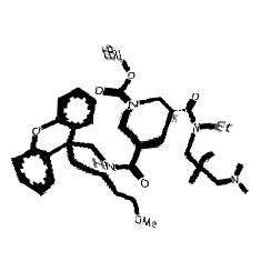 CCN(CC(C)(C)CN(C)C)C(=O)[C@@H]1CC(C(=O)NCC2(CCCCOC)c3ccccc3Oc3ccccc32)CN(C(=O)OC(C)(C)C)C1